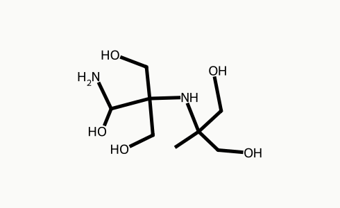 CC(CO)(CO)NC(CO)(CO)C(N)O